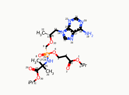 CC(C)OC(=O)CCO[P@@](=O)(CO[C@H](C)Cn1cnc2c(N)ncnc21)NC(C)(C)C(=O)OC(C)C